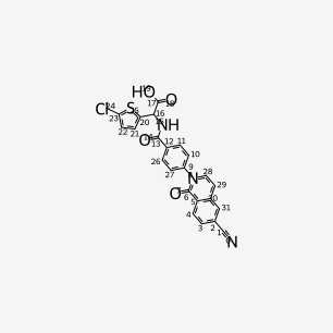 N#Cc1ccc2c(=O)n(-c3ccc(C(=O)NC(C(=O)O)c4ccc(Cl)s4)cc3)ccc2c1